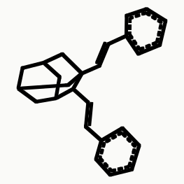 C(=CC1C2CC3CC(C2)CC1(C=Cc1ccccc1)C3)c1ccccc1